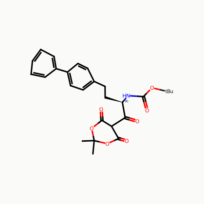 CC(C)(C)OC(=O)N[C@H](CCc1ccc(-c2ccccc2)cc1)C(=O)C1C(=O)OC(C)(C)OC1=O